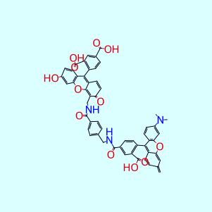 C=c1ccc2c(c1)Oc1cc(N(C)C)ccc1C=2c1ccc(C(=O)NCc2ccc(C(=O)NCc3c4oc5cc(O)ccc5c(-c5ccc(C(=O)O)cc5C(=O)O)c-4ccc3=O)cc2)cc1C(=O)O